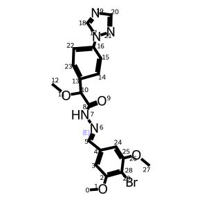 COc1cc(/C=N/NC(=O)C(OC)c2ccc(-n3cncn3)cc2)cc(OC)c1Br